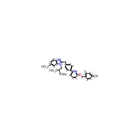 COC(Cn1c(Cc2ccc(-c3cccc(OCc4ccc(C#N)cc4F)n3)cc2)nc2ccc(C(=O)O)cc21)C(=O)O